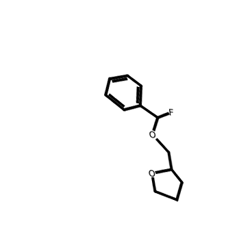 FC(OCC1CCCO1)c1ccccc1